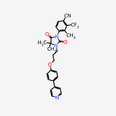 Cc1c(N2C(=O)N(CCCOc3ccc(-c4ccncc4)cc3)C(C)(C)C2=O)ccc(C#N)c1C(F)(F)F